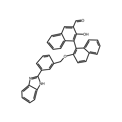 O=Cc1cc2ccccc2c(-c2c(OCc3cccc(-c4nc5ccccc5[nH]4)c3)ccc3ccccc23)c1O